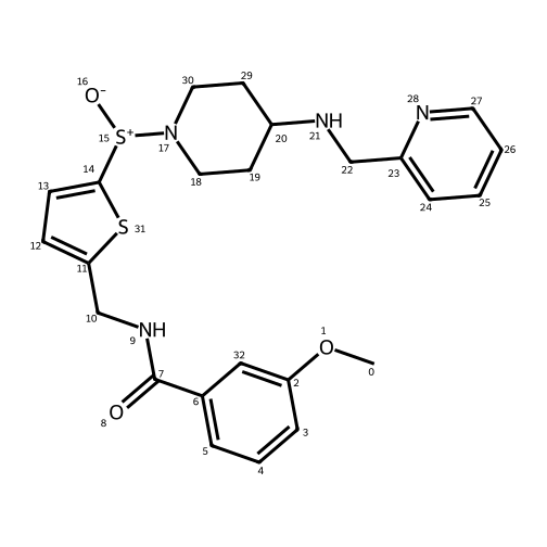 COc1cccc(C(=O)NCc2ccc([S+]([O-])N3CCC(NCc4ccccn4)CC3)s2)c1